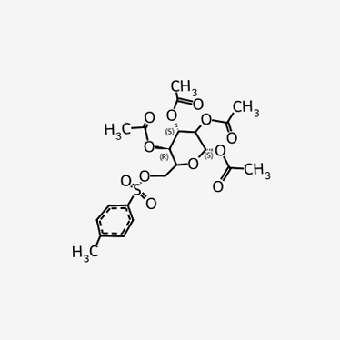 CC(=O)OC1[C@H](OC(C)=O)OC(COS(=O)(=O)c2ccc(C)cc2)[C@@H](OC(C)=O)[C@@H]1OC(C)=O